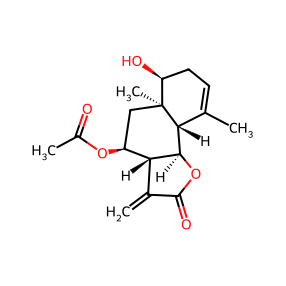 C=C1C(=O)O[C@H]2[C@H]1[C@@H](OC(C)=O)C[C@]1(C)[C@@H]2C(C)=CC[C@@H]1O